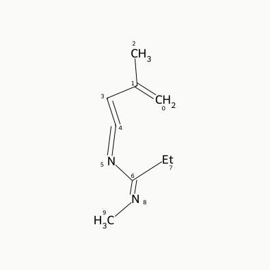 C=C(C)C=C=N/C(CC)=N\C